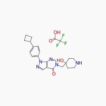 O=C(O)C(F)(F)F.O=c1c2cnn(-c3ccc(C4CCC4)cc3)c2ncn1CC1(O)CCNCC1